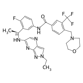 CCn1cc2ncc(N[C@@H](C)c3cc(NC(=O)c4ccc(CN5CCOCC5)c(C(F)(F)F)c4)ccc3F)nc2n1